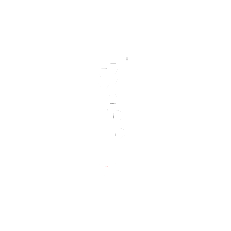 C=C(C)C(=O)OCCCCc1ccc(-c2ccc3c(c2)C(C)(C)c2cc(C4=C5C=CC6=CC(C(C)(C)C)=CC7=CC=C(C=C4)C5C76)ccc2-3)cc1